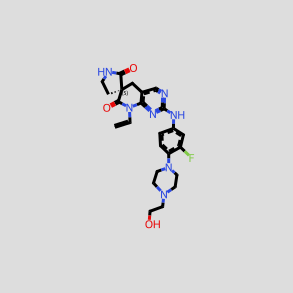 C=CN1C(=O)[C@]2(CCNC2=O)Cc2cnc(Nc3ccc(N4CCN(CCO)CC4)c(F)c3)nc21